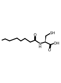 CCCCCCCC(=O)N[C@@H](CS)C(=O)O